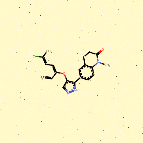 C=C/C(=C\C=C(/C)Cl)Oc1cn[nH]c1-c1ccc2c(c1)CCC(=O)N2C